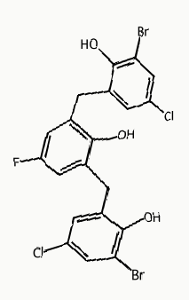 Oc1c(Br)cc(Cl)cc1Cc1cc(F)cc(Cc2cc(Cl)cc(Br)c2O)c1O